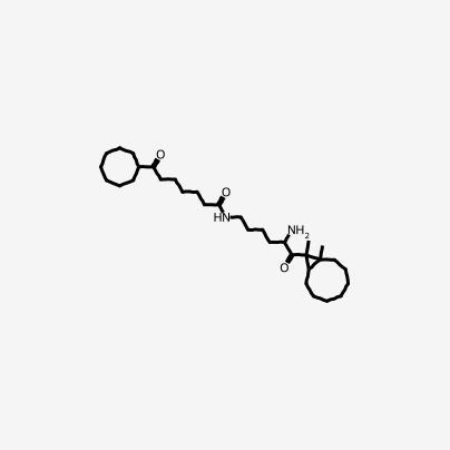 CC12CCCCCCCC1C2(C)C(=O)C(N)CCCCNC(=O)CCCCCC(=O)C1CCCCCCC1